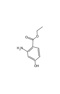 CCOC(=O)c1ccc(O)cc1N